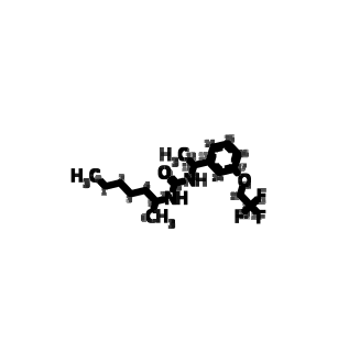 CCCCCC(C)NC(=O)NC(C)c1cccc(OCC(F)(F)F)c1